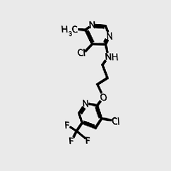 Cc1ncnc(NCCCOc2ncc(C(F)(F)F)cc2Cl)c1Cl